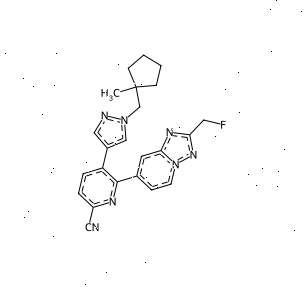 CC1(Cn2cc(-c3ccc(C#N)nc3-c3ccn4nc(CF)nc4c3)cn2)CCCC1